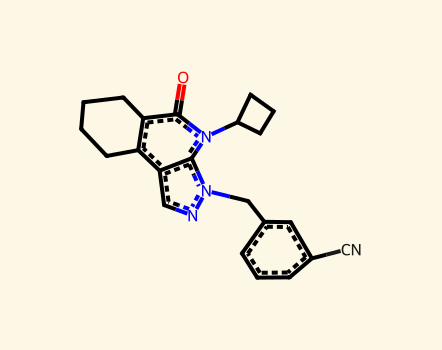 N#Cc1cccc(Cn2ncc3c4c(c(=O)n(C5CCC5)c32)CCCC4)c1